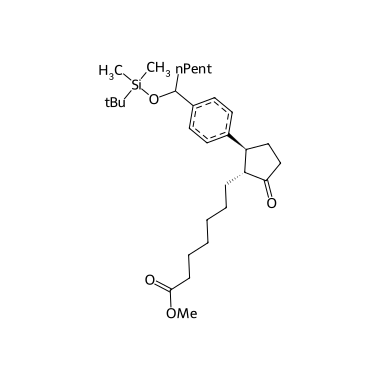 CCCCCC(O[Si](C)(C)C(C)(C)C)c1ccc([C@H]2CCC(=O)[C@@H]2CCCCCCC(=O)OC)cc1